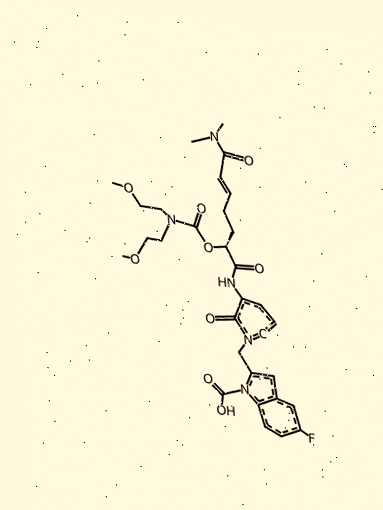 COCCN(CCOC)C(=O)O[C@@H](CC/C=C/C(=O)N(C)C)C(=O)Nc1cccn(Cc2cc3cc(F)ccc3n2C(=O)O)c1=O